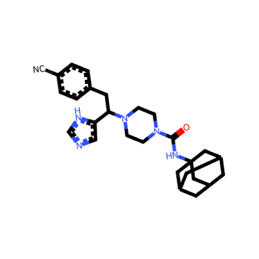 N#Cc1ccc(CC(c2cnc[nH]2)N2CCN(C(=O)NC34CC5CC(CC(C5)C3)C4)CC2)cc1